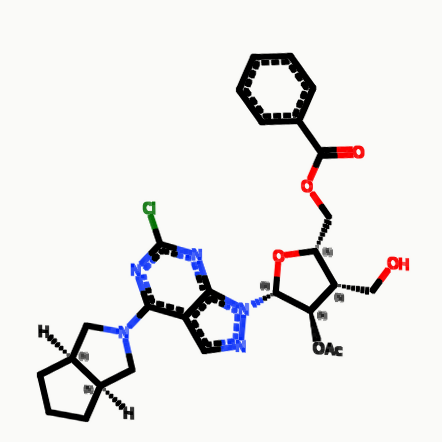 CC(=O)O[C@@H]1[C@@H](CO)[C@@H](COC(=O)c2ccccc2)O[C@H]1n1ncc2c(N3C[C@H]4CCC[C@H]4C3)nc(Cl)nc21